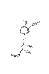 CCCCCCCCC[C@H](O)C[C@@H](O)CCc1ccc(O)c(OC)c1